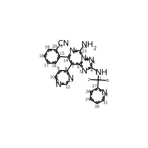 CC(C)(Nc1nc2c(-c3ccncn3)c(-c3ccccc3C#N)nc(N)n2n1)c1ccccn1